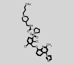 CC(=O)OCCCN1CCC(CNC(=O)[C@@H]2CCCN2S(=O)(=O)c2ccc(Cl)c(COc3cccc4c(-n5ccnc5)cc(C)nc34)c2Cl)CC1